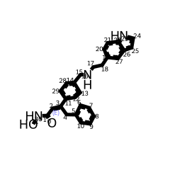 O=C(/C=C(\Cc1ccccc1)c1ccc(CNCCc2ccc3[nH]ccc3c2)cc1)NO